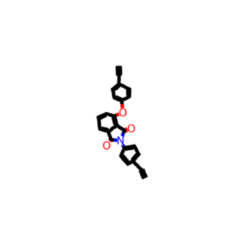 C#Cc1ccc(Oc2cccc3c2C(=O)N(c2ccc(C#C)cc2)C3=O)cc1